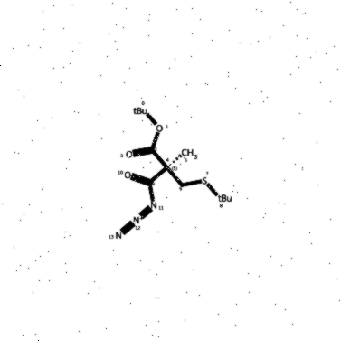 CC(C)(C)OC(=O)[C@@](C)(CSC(C)(C)C)C(=O)N=[N+]=[N-]